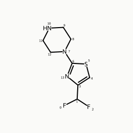 FC(F)c1csc(N2CCNCC2)n1